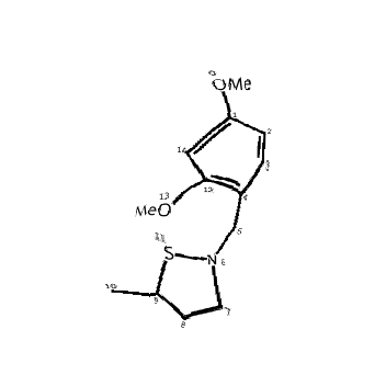 COc1ccc(CN2CCC(C)S2)c(OC)c1